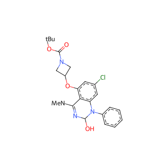 CNC1=NC(O)N(c2ccccc2)c2cc(Cl)cc(OC3CN(C(=O)OC(C)(C)C)C3)c21